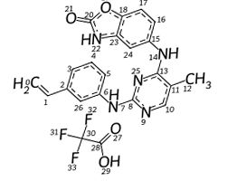 C=Cc1cccc(Nc2ncc(C)c(Nc3ccc4oc(=O)[nH]c4c3)n2)c1.O=C(O)C(F)(F)F